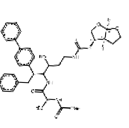 COC(=O)NC(C(=O)NC(C(O)CCNC(=O)O[C@H]1CO[C@H]2OCC[C@H]21)C(Cc1ccccc1)c1ccc(-c2ccccn2)cc1)C(C)(C)C